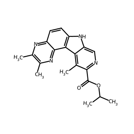 Cc1nc2ccc3[nH]c4cnc(C(=O)OC(C)C)c(C)c4c3c2nc1C